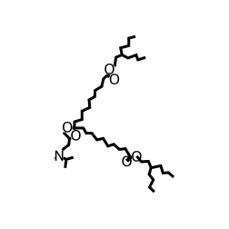 CCCCC(CCCC)CCOC(=O)CCCCCCCCCC1(CCCCCCCCCC(=O)OCCC(CCCC)CCCC)OCC(CCN(C)C(C)C)O1